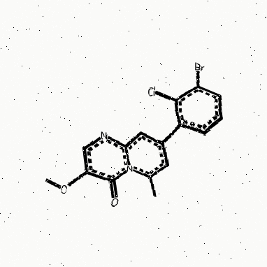 COc1cnc2cc(-c3cccc(Br)c3Cl)cc(C)n2c1=O